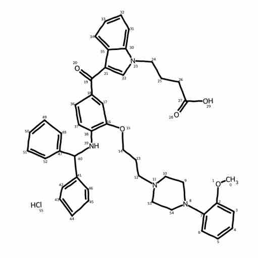 COc1ccccc1N1CCN(CCCOc2cc(C(=O)c3cn(CCCC(=O)O)c4ccccc34)ccc2NC(c2ccccc2)c2ccccc2)CC1.Cl